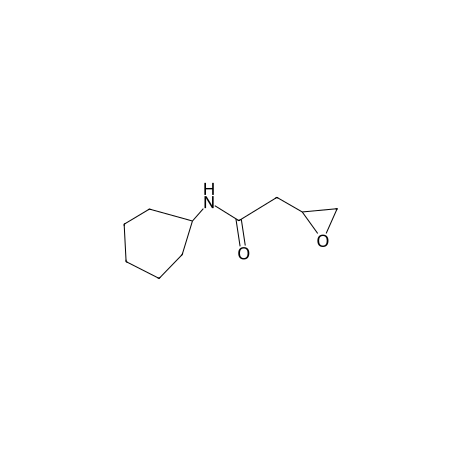 O=C(CC1CO1)NC1CCCCC1